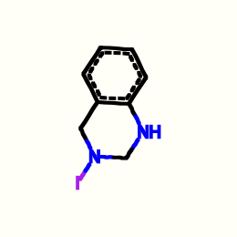 IN1CNc2ccccc2C1